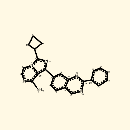 Nc1nccn2c(C3CCC3)nc(-c3ccc4cnc(-c5ccccc5)nc4c3)c12